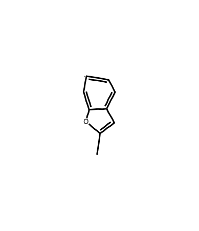 Cc1cc2cc[c]cc2o1